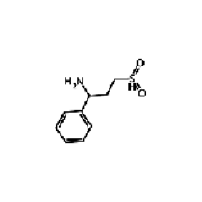 NC(CC[SH](=O)=O)c1ccccc1